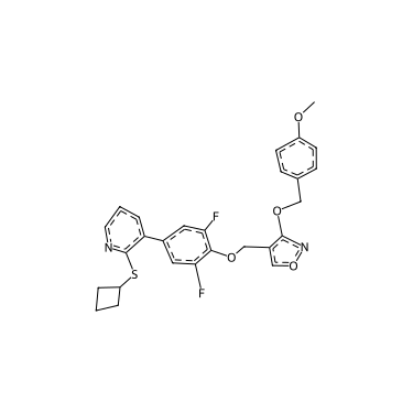 COc1ccc(COc2nocc2COc2c(F)cc(-c3cccnc3SC3CCC3)cc2F)cc1